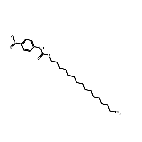 CCCCCCCCCCCCCCCCOC(=O)Nc1ccc([N+](=O)[O-])cc1